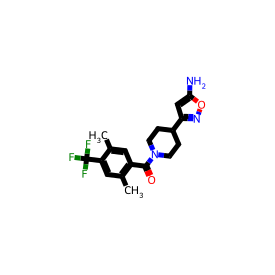 Cc1cc(C(F)(F)F)c(C)cc1C(=O)N1CCC(c2cc(N)on2)CC1